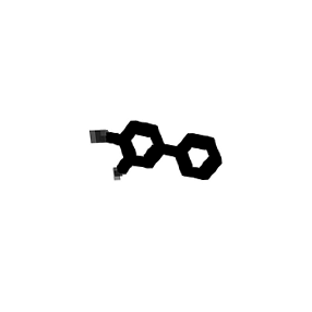 Oc1ccc(-c2ccccc2)cc1F